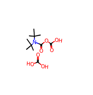 CC(C)(C)N(C(=O)OC(=O)O)C(C)(C)C.O=C(O)O